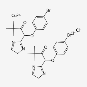 CC(C)(C)C(=O)C(Oc1ccc(Br)cc1)C1=NCC=N1.CC(C)(C)C(=O)C(Oc1ccc(Br)cc1)C1=NCC=N1.[Cl-].[Cl-].[Cu+2]